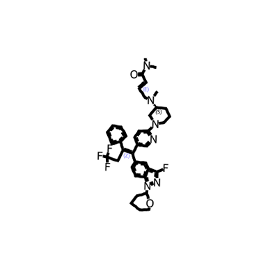 CN(C)C(=O)/C=C/CN(C)[C@H]1CCCN(c2ccc(/C(=C(/CC(F)(F)F)c3ccccc3)c3ccc4c(c3)c(F)nn4C3CCCCO3)cn2)C1